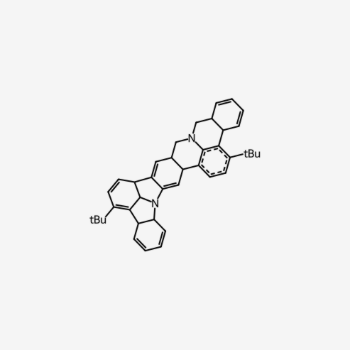 CC(C)(C)C1=C2C3C=CC=CC3N3C4=CC5c6ccc(C(C)(C)C)c7c6N(CC5C=C4C(C=C1)C23)CC1C=CC=CC71